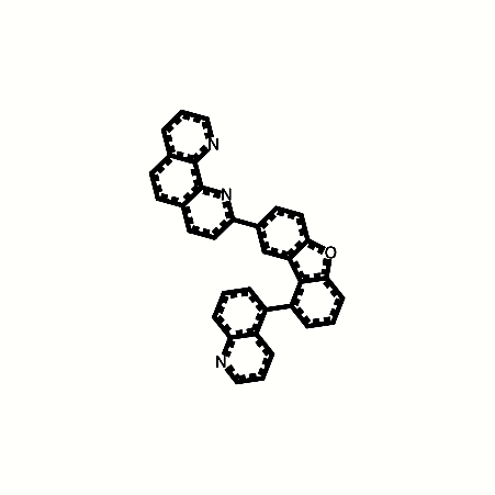 c1cnc2c(c1)ccc1ccc(-c3ccc4oc5cccc(-c6cccc7ncccc67)c5c4c3)nc12